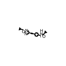 C[C@H](NC(=O)C1CC1)c1ccc(C#Cc2cnc(OCC3CC3)nc2)cc1